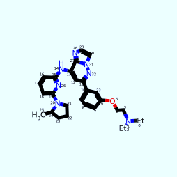 CCN(CC)CCOc1cccc(-c2cc(Nc3cccc(N4CCCC4C)n3)c3nccn3n2)c1